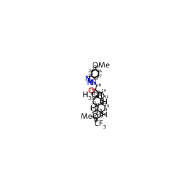 COC[C@]12CC[C@H](C(F)(F)F)C[C@H]1CC[C@H]1[C@@H]3CC[C@H](C(=O)Cn4nnc5cc(OC)ccc54)[C@@]3(C)CC[C@@H]12